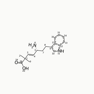 CC(C)(/C=C/[C@H](N)CCc1c[nH]c2ccccc12)C(=O)O